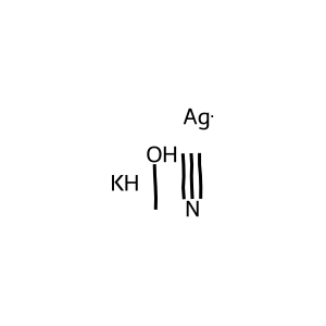 C#N.CO.[Ag].[KH]